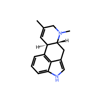 CC1=C[C@@H]2c3cccc4[nH]cc(c34)C[C@H]2N(C)C1